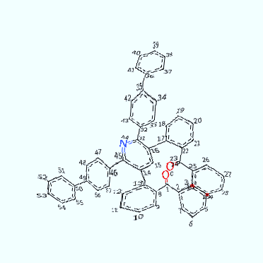 O=C(c1ccccc1)c1ccccc1-c1cc(-c2ccccc2C(=O)c2ccccc2)c(-c2ccc(-c3ccccc3)cc2)nc1-c1ccc(-c2ccccc2)cc1